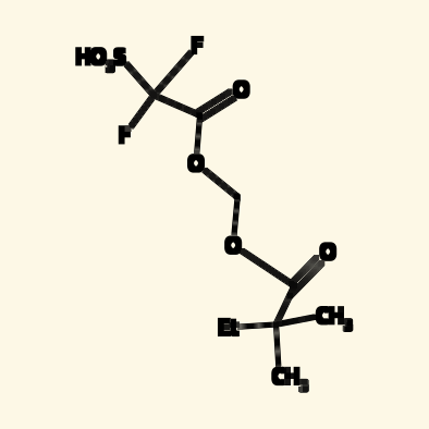 CCC(C)(C)C(=O)OCOC(=O)C(F)(F)S(=O)(=O)O